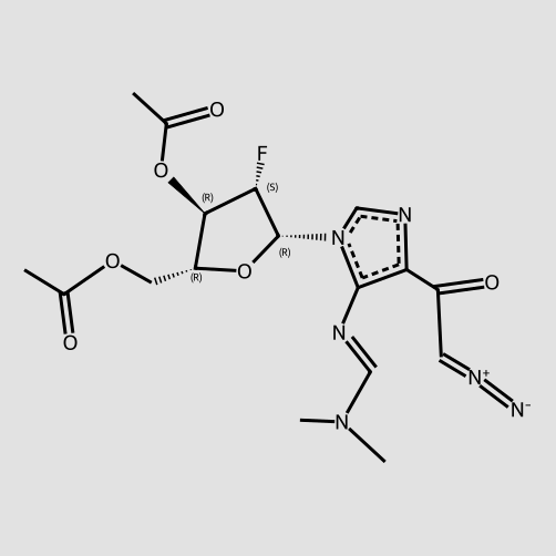 CC(=O)OC[C@H]1O[C@@H](n2cnc(C(=O)C=[N+]=[N-])c2N=CN(C)C)[C@@H](F)[C@@H]1OC(C)=O